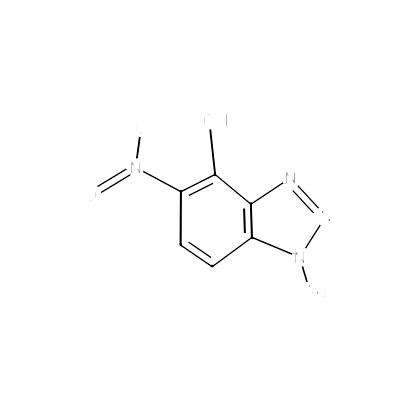 O=[N+]([O-])c1ccc2c(nn[n]2[Ag])c1O